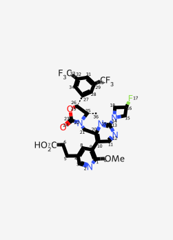 COc1ncc(CCC(=O)O)cc1-c1cnc(N2CC(F)C2)nc1CN1C(=O)O[C@H](c2cc(C(F)(F)F)cc(C(F)(F)F)c2)[C@@H]1C